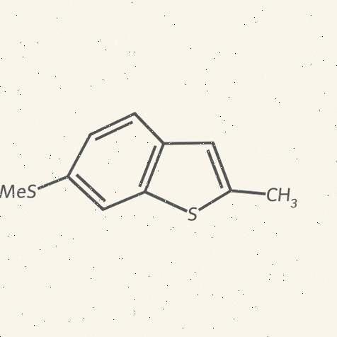 CSc1ccc2cc(C)sc2c1